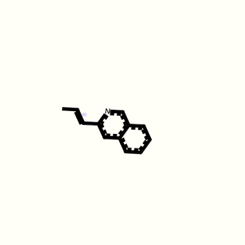 C/C=C/c1cc2ccccc2cn1